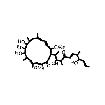 C/C=C/C(O)C(C)/C=C/C(=O)C(C)C(O)C(C)C1CC(=O)/C(OC)=C/C(C)=C/C(C)C(O)C(CC)C(O)C(C)C/C(C)=C/C=C/C1OC